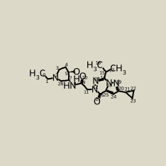 CCN1CC[C@@H](O)[C@@H](NC(=O)Cn2nc(C(C)C)n3nc(C4CC4)cc3c2=O)C1